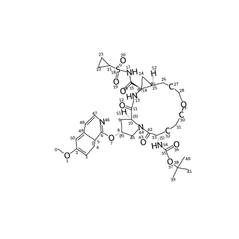 COc1ccc2c(O[C@@H]3C[C@H]4C(=O)N[C@]5(C(=O)NS(=O)(=O)C6CC6)C[C@H]5CCCOCCC[C@H](NC(=O)OC(C)(C)C)C(=O)N4C3)nccc2c1